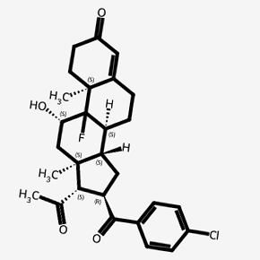 CC(=O)[C@H]1[C@H](C(=O)c2ccc(Cl)cc2)C[C@H]2[C@@H]3CCC4=CC(=O)CC[C@]4(C)C3(F)[C@@H](O)C[C@@]21C